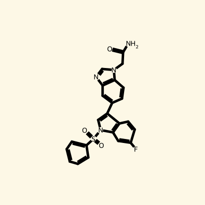 NC(=O)Cn1cnc2cc(-c3cn(S(=O)(=O)c4ccccc4)c4cc(F)ccc34)ccc21